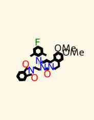 COc1cc2c(cc1OC)-c1c/c(=N\c3c(C)cc(F)cc3C)n(CCN3C(=O)c4ccccc4C3=O)c(=O)n1CC2